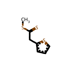 CSC(=S)Cc1cccs1